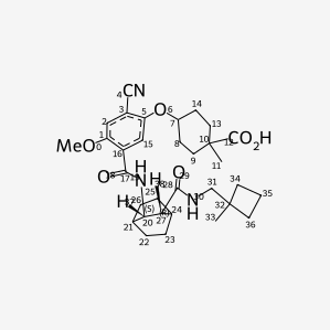 COc1cc(C#N)c(OC2CCC(C)(C(=O)O)CC2)cc1C(=O)N[C@H]1C2CCC(CC2)[C@H]1C(=O)NCC1(C)CCC1